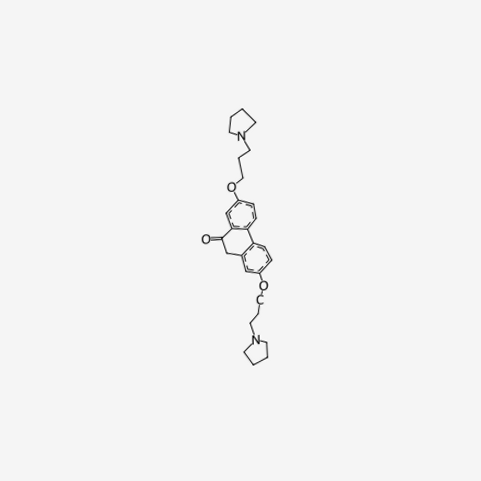 O=C1Cc2cc(OCCCN3CCCC3)ccc2-c2ccc(OCCCN3CCCC3)cc21